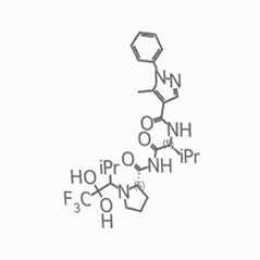 Cc1c(C(=O)N[C@H](C(=O)NC(=O)[C@@H]2CCCN2C(C(C)C)C(O)(O)C(F)(F)F)C(C)C)cnn1-c1ccccc1